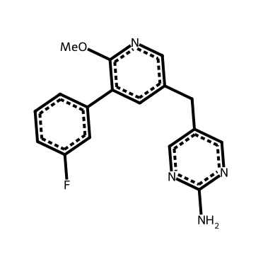 COc1ncc(Cc2cnc(N)nc2)cc1-c1cccc(F)c1